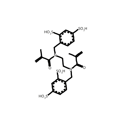 C=C(C)C(=O)N(CCN(Cc1ccc(S(=O)(=O)O)cc1S(=O)(=O)O)C(=O)C(=C)C)Cc1ccc(S(=O)(=O)O)cc1S(=O)(=O)O